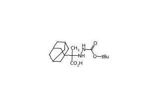 CC(C)(C)OC(=O)NNC(C)(C(=O)O)C12CC3CC(CC(C3)C1)C2